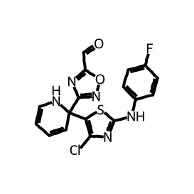 O=Cc1nc(C2(c3sc(Nc4ccc(F)cc4)nc3Cl)C=CC=CN2)no1